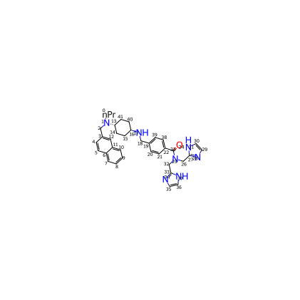 CCCN(Cc1ccc2ccccc2c1)[C@H]1CC[C@H](NCc2ccc(C(=O)N(Cc3ncc[nH]3)Cc3ncc[nH]3)cc2)CC1